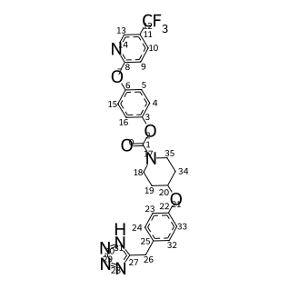 O=C(Oc1ccc(Oc2ccc(C(F)(F)F)cn2)cc1)N1CCC(Oc2ccc(Cc3nnn[nH]3)cc2)CC1